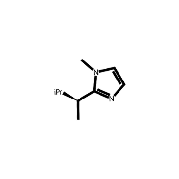 CC(C)[C@H](C)c1nccn1C